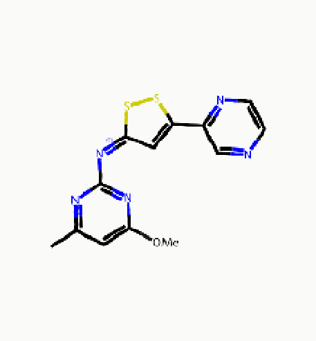 COc1cc(C)nc(/N=c2\cc(-c3cnccn3)ss2)n1